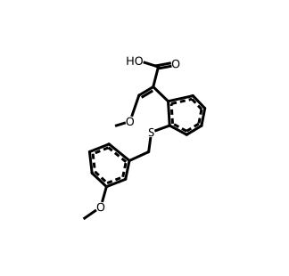 CO/C=C(/C(=O)O)c1ccccc1SCc1cccc(OC)c1